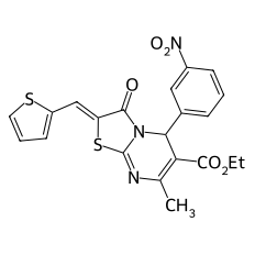 CCOC(=O)C1=C(C)N=c2s/c(=C\c3cccs3)c(=O)n2C1c1cccc([N+](=O)[O-])c1